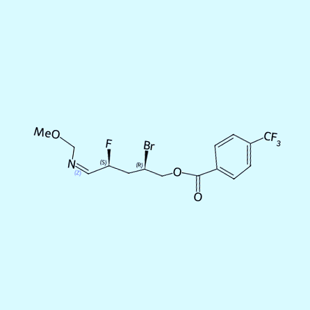 COC/N=C\[C@@H](F)C[C@@H](Br)COC(=O)c1ccc(C(F)(F)F)cc1